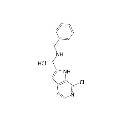 Cl.Clc1nccc2cc(CNCc3ccccc3)[nH]c12